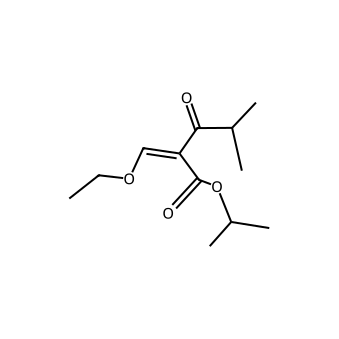 CCOC=C(C(=O)OC(C)C)C(=O)C(C)C